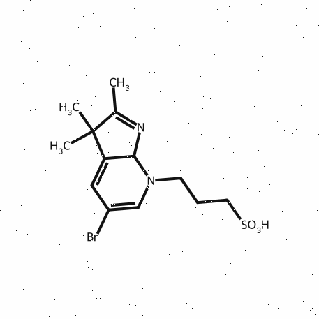 CC1=NC2C(=CC(Br)=CN2CCCS(=O)(=O)O)C1(C)C